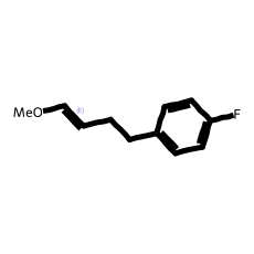 CO/C=C/CCc1ccc(F)cc1